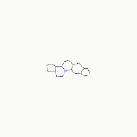 C1CC2CC3CCC4C5CCCC5CCN4C3CC2C1